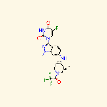 C[C@@H]1CN(C(=O)C(F)(F)F)CC[C@H]1Nc1ccc2c(-n3cc(F)c(=O)[nH]c3=O)nn(C)c2c1